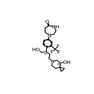 O=C1CCN(c2ccc([C@H](CO)CCN3CCC4(CC4)[C@H](O)C3)c(C(F)(F)F)c2)CCN1